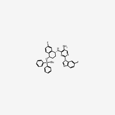 CC(C)(C)[Si](O[C@@H]1CC[C@@H](Nc2nc(-n3cnc4ccc(F)cc43)ncc2N)c2cc(F)ccc21)(c1ccccc1)c1ccccc1